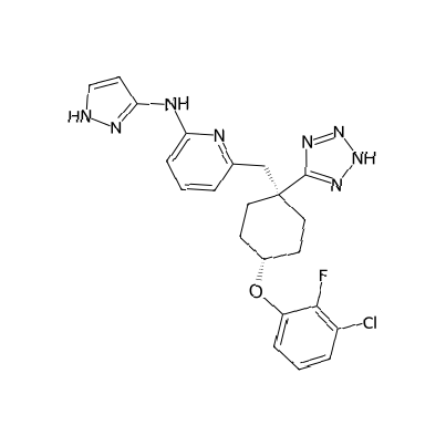 Fc1c(Cl)cccc1O[C@H]1CC[C@](Cc2cccc(Nc3cc[nH]n3)n2)(c2nn[nH]n2)CC1